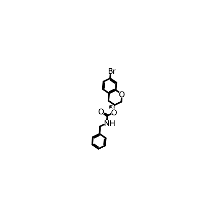 O=C(NCc1ccccc1)O[C@H]1COc2cc(Br)ccc2C1